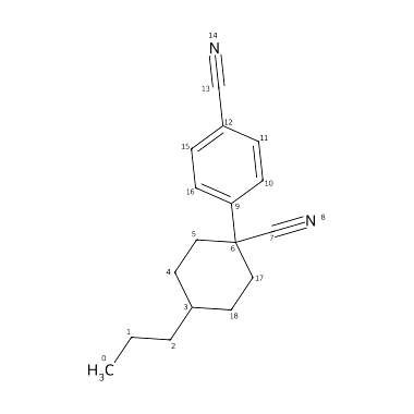 CCCC1CCC(C#N)(c2ccc(C#N)cc2)CC1